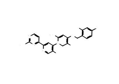 CC1=CC(OCc2ccc(F)cc2F)=C(Cl)CN1c1cc(-c2ccnc(C(C)(C)C)n2)ncc1Cl